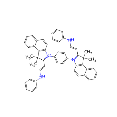 CC1(C)C(C=CNc2ccccc2)=[N+](c2ccc([N+]3=C(C=CNc4ccccc4)C(C)(C)c4c3ccc3ccccc43)cc2)c2ccc3ccccc3c21